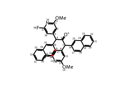 COc1cc(C(C(=O)C(c2cc(F)nc(OC)c2)c2ccc3ccccc3c2)c2ccc3ccccc3c2)cc(F)n1